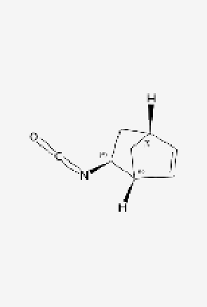 O=C=N[C@H]1C[C@@H]2C=C[C@H]1C2